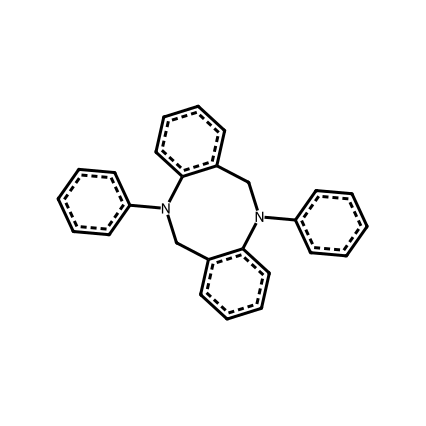 c1ccc(N2Cc3ccccc3N(c3ccccc3)Cc3ccccc32)cc1